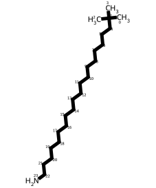 CC(C)(C)CCCCCCCCCCCCCCCCCCCN